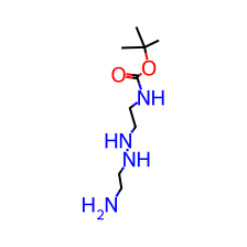 CC(C)(C)OC(=O)NCCNNCCN